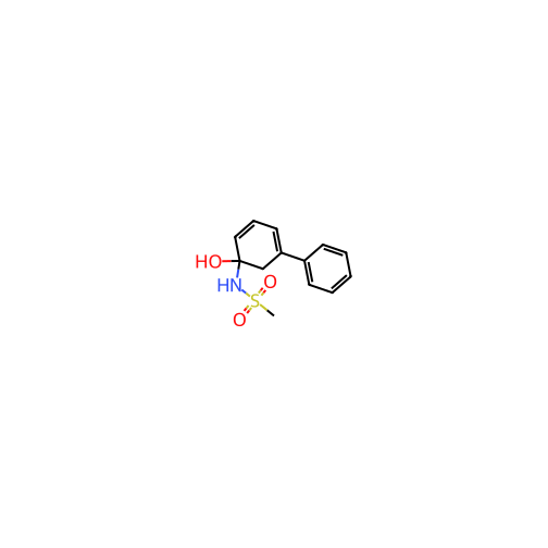 CS(=O)(=O)NC1(O)C=CC=C(c2ccccc2)C1